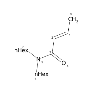 C/C=C/C(=O)N(CCCCCC)CCCCCC